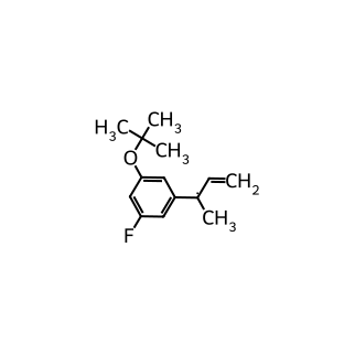 C=C[C](C)c1cc(F)cc(OC(C)(C)C)c1